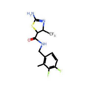 Cc1c(CNC(=O)C2SC(N)=NC2C(F)(F)F)ccc(F)c1F